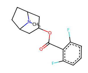 CN1C2CCC1CC(OC(=O)c1c(F)cccc1F)C2